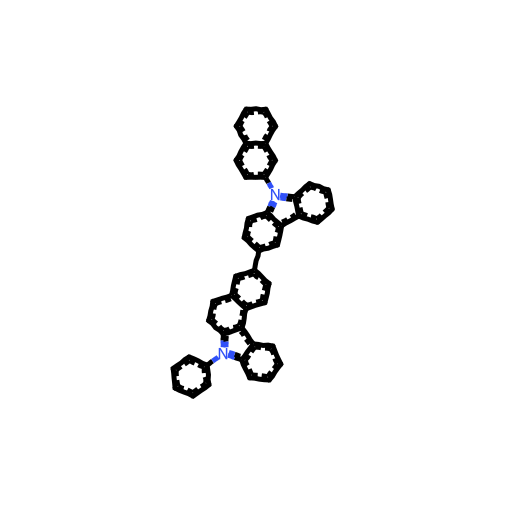 c1ccc(-n2c3ccccc3c3c4ccc(-c5ccc6c(c5)c5ccccc5n6-c5ccc6ccccc6c5)cc4ccc32)cc1